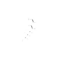 FC(Cl)=C(F)C(F)=C(F)C(F)(F)C(F)(F)C(F)(F)F